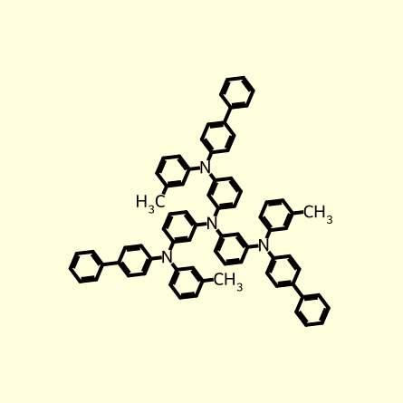 Cc1cccc(N(c2ccc(-c3ccccc3)cc2)c2cccc(N(c3cccc(N(c4ccc(-c5ccccc5)cc4)c4cccc(C)c4)c3)c3cccc(N(c4ccc(-c5ccccc5)cc4)c4cccc(C)c4)c3)c2)c1